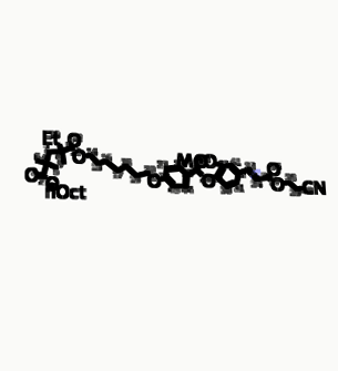 CCCCCCCCOC(=O)C(C)(C)CC(C)(CC)C(=O)OCCCCCCCOc1ccc(C(=O)Oc2ccc(/C=C/C(=O)OCCC#N)cc2OC)cc1